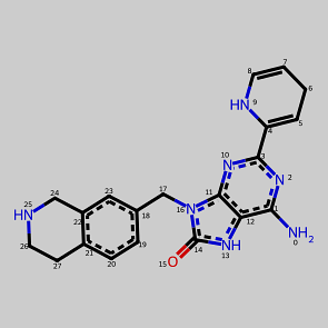 Nc1nc(C2=CCC=CN2)nc2c1[nH]c(=O)n2Cc1ccc2c(c1)CNCC2